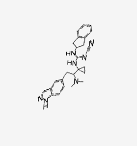 CN(C)C(Cc1ccc2[nH]ncc2c1)C1(NC(=NC#N)NC2Cc3ccccc3C2)CC1